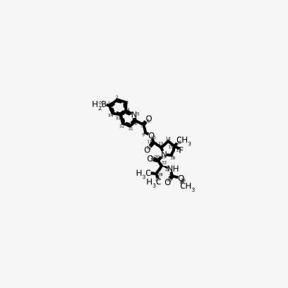 Bc1ccc2nc(C(=O)COC(=O)C3CC(C)(F)CN3C(=O)[C@@H](NC(=O)OC)C(C)C)ccc2c1